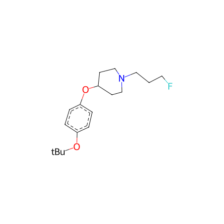 CC(C)(C)Oc1ccc(OC2CCN(CCCF)CC2)cc1